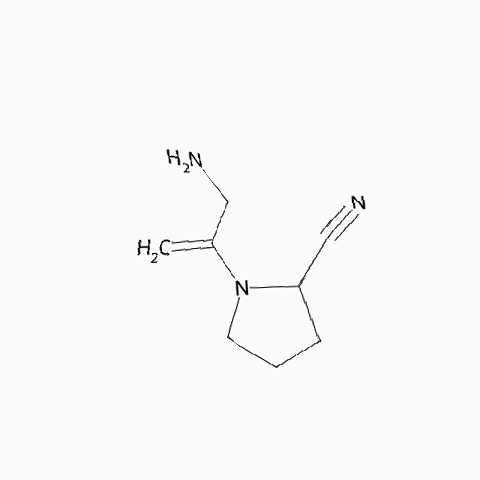 C=C(CN)N1CCCC1C#N